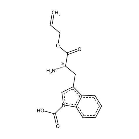 C=CCOC(=O)[C@@H](N)Cc1cn(C(=O)O)c2ccccc12